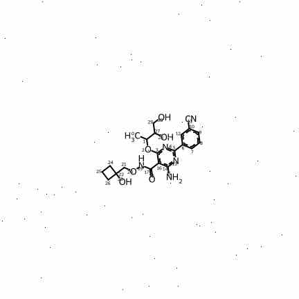 CC(Oc1nc(-c2cccc(C#N)c2)nc(N)c1C(=O)NOCC1(O)CCC1)C(O)CO